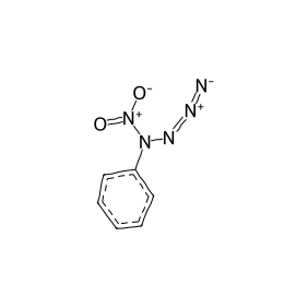 [N-]=[N+]=NN(c1ccccc1)[N+](=O)[O-]